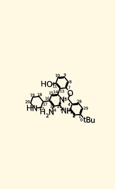 CC(C)(C)c1ccc(COc2cccc(O)c2-c2cc(C3CCCNC3)c(N)c(N)n2)cc1